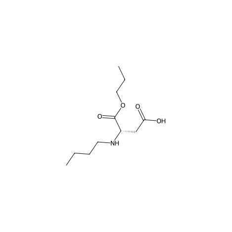 CCCCN[C@@H](CC(=O)O)C(=O)OCCC